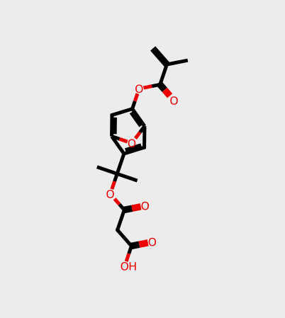 C=C(C)C(=O)Oc1cc2oc1cc2C(C)(C)OC(=O)CC(=O)O